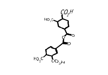 O=C(OC(=O)C1CCC(C(=O)O)C(C(=O)O)C1)C1CCC(C(=O)O)C(C(=O)O)C1